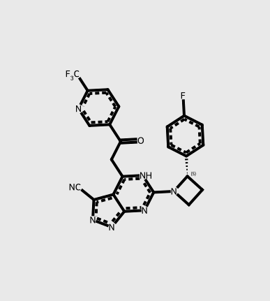 N#Cc1nnc2nc(N3CC[C@H]3c3ccc(F)cc3)[nH]c(CC(=O)c3ccc(C(F)(F)F)nc3)c1-2